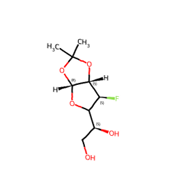 CC1(C)O[C@H]2OC([C@@H](O)CO)[C@H](F)[C@H]2O1